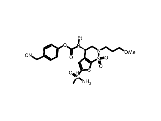 CCN(C(=O)Oc1ccc(CN=O)cc1)[C@H]1CN(CCCOC)S(=O)(=O)c2sc([SH](C)(N)=O)cc21